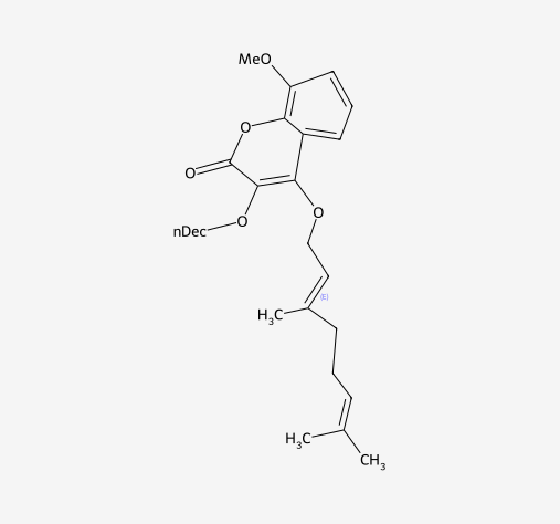 CCCCCCCCCCOc1c(OC/C=C(\C)CCC=C(C)C)c2cccc(OC)c2oc1=O